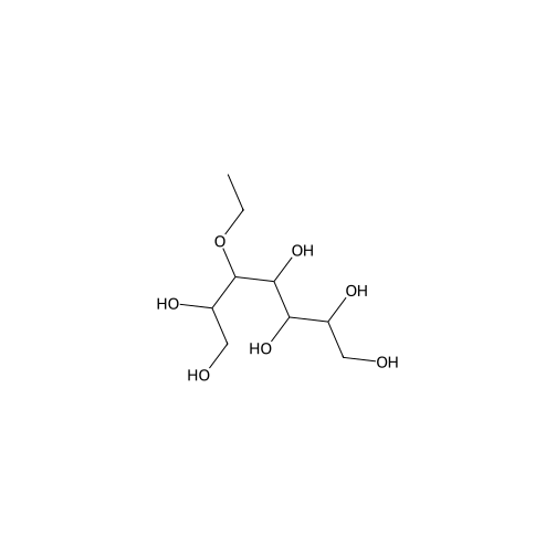 CCOC(C(O)CO)C(O)C(O)C(O)CO